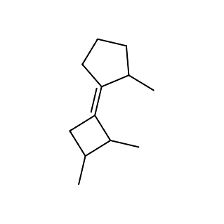 CC1CCCC1=C1CC(C)C1C